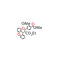 CCOC(=O)C(C(=O)c1ccc(C(=O)OC)c(OC)c1)C1c2ccccc2Oc2ccccc21